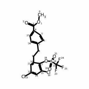 COC(=O)c1ccc(CCc2cc(Cl)cc(Cl)c2OS(=O)(=O)C(F)(F)F)cc1